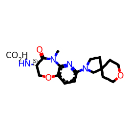 CN1C(=O)[C@@H](NC(=O)O)COc2ccc(N3CCC4(CCOCC4)C3)nc21